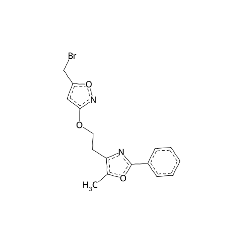 Cc1oc(-c2ccccc2)nc1CCOc1cc(CBr)on1